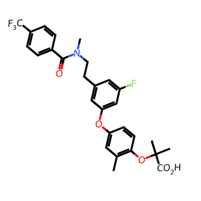 Cc1cc(Oc2cc(F)cc(CCN(C)C(=O)c3ccc(C(F)(F)F)cc3)c2)ccc1OC(C)(C)C(=O)O